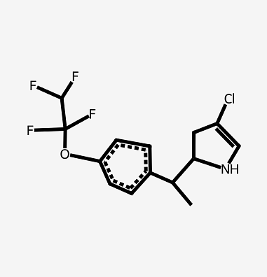 CC(c1ccc(OC(F)(F)C(F)F)cc1)C1CC(Cl)=CN1